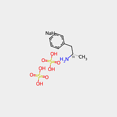 C[C@H](N)Cc1ccccc1.O=S(=O)(O)O.O=S(=O)(O)O.[NaH]